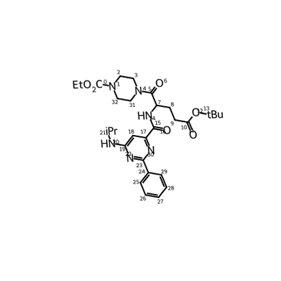 CCOC(=O)N1CCN(C(=O)C(CCC(=O)OC(C)(C)C)NC(=O)c2cc(NC(C)C)nc(-c3ccccc3)n2)CC1